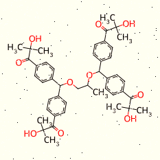 CC(COC(c1ccc(C(=O)C(C)(C)O)cc1)c1ccc(C(=O)C(C)(C)O)cc1)OC(c1ccc(C(=O)C(C)(C)O)cc1)c1ccc(C(=O)C(C)(C)O)cc1